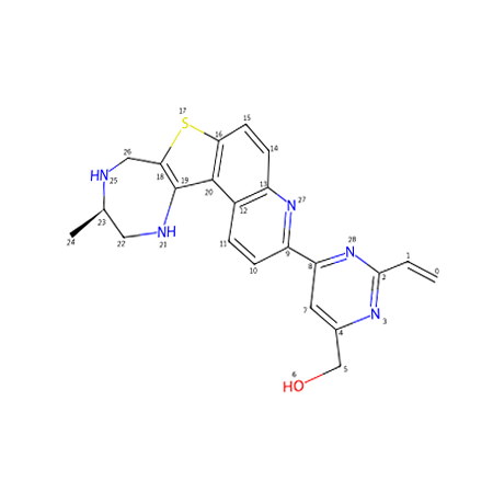 C=Cc1nc(CO)cc(-c2ccc3c(ccc4sc5c(c43)NC[C@@H](C)NC5)n2)n1